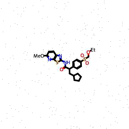 CCOCS(=O)(=O)c1ccc(C(CC2CCCC2)C(=O)Nc2nc3ccc(OC)nc3s2)cc1